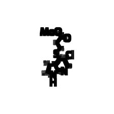 COC(=O)CCSc1c(Cl)cnc2[nH]ccc12